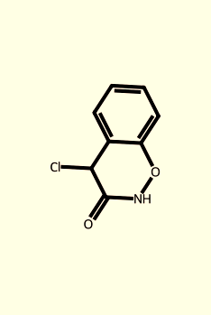 O=C1NOc2ccccc2C1Cl